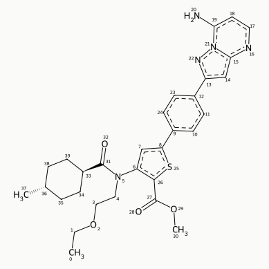 CCOCCN(c1cc(-c2ccc(-c3cc4nccc(N)n4n3)cc2)sc1C(=O)OC)C(=O)[C@H]1CC[C@H](C)CC1